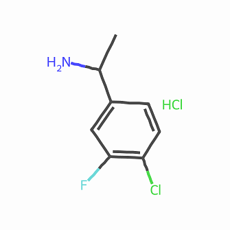 CC(N)c1ccc(Cl)c(F)c1.Cl